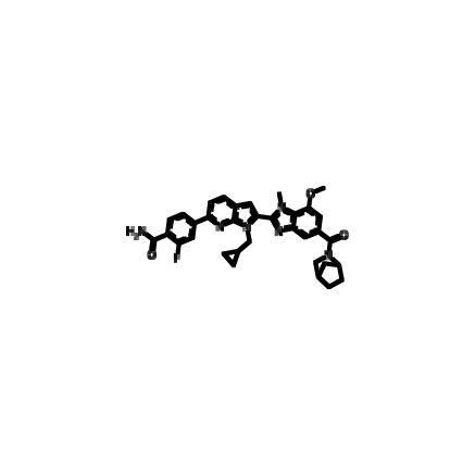 COc1cc(C(=O)N2CC3CCC2C3)cc2nc(-c3cc4ccc(-c5ccc(C(N)=O)c(F)c5)nc4n3CC3CC3)n(C)c12